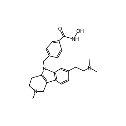 CN(C)CCc1ccc2c3c(n(Cc4ccc(C(=O)NO)cc4)c2c1)CCN(C)C3